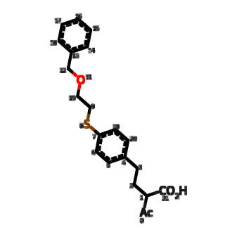 CC(=O)C(CCc1ccc(SCCOCc2ccccc2)cc1)C(=O)O